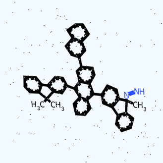 CC1(C)c2ccccc2-c2ccc(-c3c4ccccc4c(-c4ccc5c(c4)-c4ccccc4C5(C)N=N)c4ccc(-c5ccc6ccccc6c5)cc34)cc21